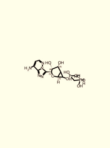 Nc1ccnn2c([C@@H]3O[C@@H]4C(O[PH](O)(O)C[PH](O)(O)O)C4[C@@H](O)[C@H]3O)nnc12